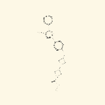 CC(C)(C)OC(=O)N1CC(N2CC(Oc3ccc(-n4cc(Br)c(-c5ccncc5)n4)cc3)C2)C1